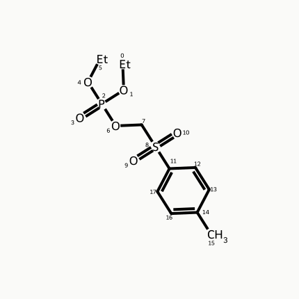 CCOP(=O)(OCC)OCS(=O)(=O)c1ccc(C)cc1